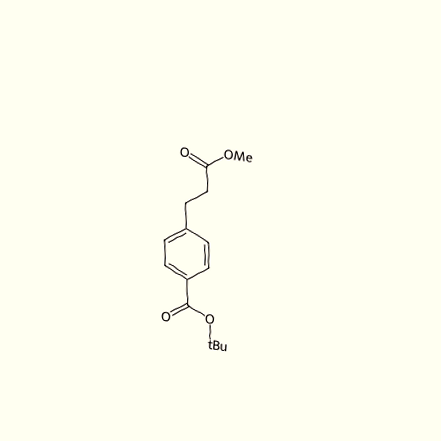 COC(=O)CCc1ccc(C(=O)OC(C)(C)C)cc1